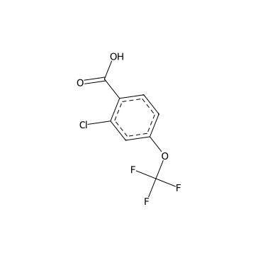 O=C(O)c1ccc(OC(F)(F)F)cc1Cl